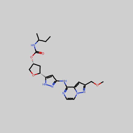 CCC(C)NC(=O)O[C@H]1CO[C@@H](c2cc(Nc3nccn4nc(COC)cc34)n[nH]2)C1